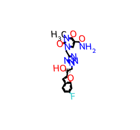 Cn1c(=O)c(C(N)=O)cn(Cc2nnn(C[C@H](O)c3cc4ccc(F)cc4o3)n2)c1=O